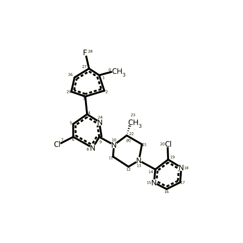 Cc1cc(-c2cc(Cl)nc(N3CCN(c4nccnc4Cl)C[C@H]3C)n2)ccc1F